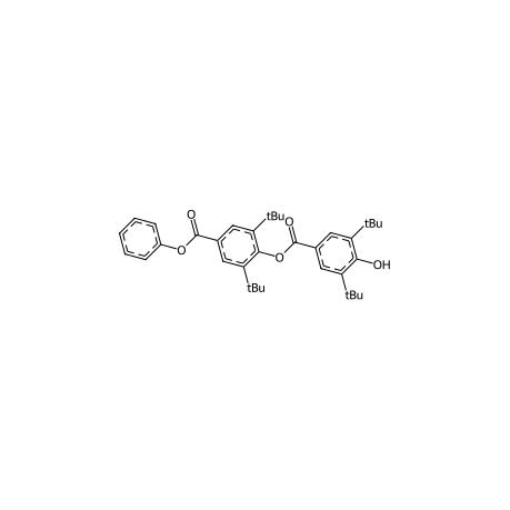 CC(C)(C)c1cc(C(=O)Oc2c(C(C)(C)C)cc(C(=O)Oc3ccccc3)cc2C(C)(C)C)cc(C(C)(C)C)c1O